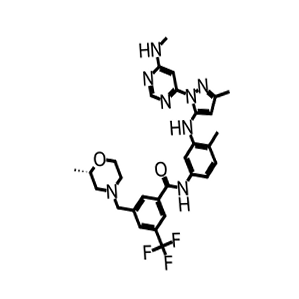 CNc1cc(-n2nc(C)cc2Nc2cc(NC(=O)c3cc(CN4CCO[C@@H](C)C4)cc(C(F)(F)F)c3)ccc2C)ncn1